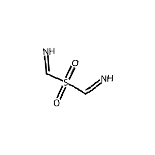 N=CS(=O)(=O)C=N